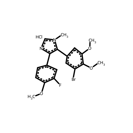 COc1ccc(-c2ncn(C)c2-c2cc(Br)c(OC)c(OC)c2)cc1F.Cl